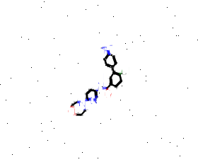 CN(C)c1ccc(-c2cc(C(=O)Nc3ccc(N4CCCOCC4)nc3)ccc2Cl)cc1